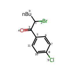 CCCCC(Br)C(=O)c1ccc(Cl)cc1